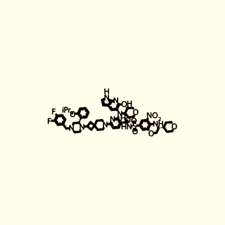 CC(C)Oc1ccccc1[C@@H]1CN(Cc2ccc(F)c(F)c2)CCN1C1CC2(CCN(c3ccc(C(=O)NS(=O)(=O)c4cc5c(c([N+](=O)[O-])c4)N[C@H](C4CCOCC4)CO5)c(N4c5cc6cc[nH]c6nc5O[C@H]5COCC[C@@H]54)n3)CC2)C1